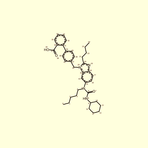 CCCCCN(C(=O)NC1CCCCC1)c1ccc2nc(CCCC)n(Cc3ccc(-c4ccccc4C(=O)O)cc3)c2c1